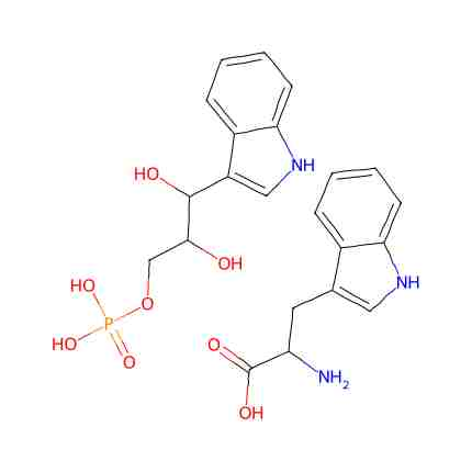 NC(Cc1c[nH]c2ccccc12)C(=O)O.O=P(O)(O)OCC(O)C(O)c1c[nH]c2ccccc12